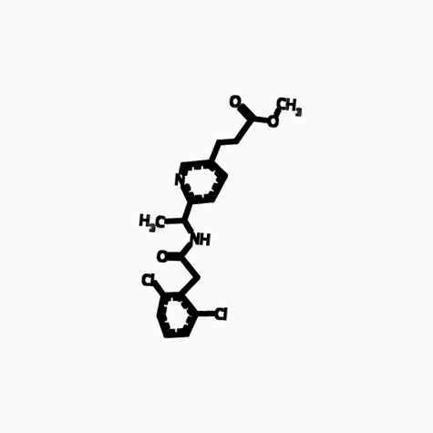 COC(=O)CCc1ccc(C(C)NC(=O)Cc2c(Cl)cccc2Cl)nc1